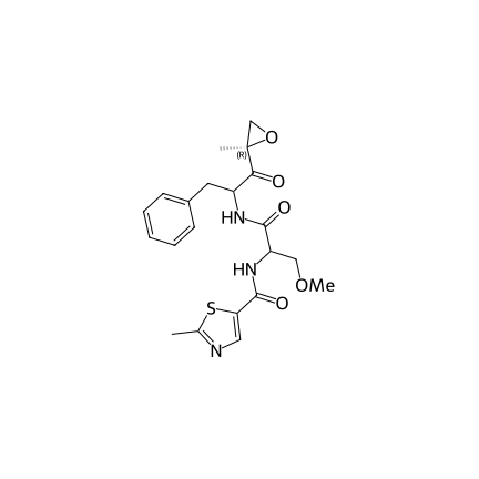 COCC(NC(=O)c1cnc(C)s1)C(=O)NC(Cc1ccccc1)C(=O)[C@@]1(C)CO1